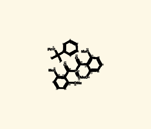 CCCC(C)C(C)(C)c1ccccc1.COc1cccc(OC)c1C(=O)[P](=O)C(=O)c1c(OC)cccc1OC